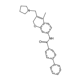 CC1=C(CN2CCCC2)COc2cc(NC(=O)c3ccc(-c4ccccc4)cc3)ccc21